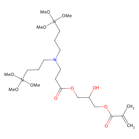 C=C(C)C(=O)OCC(O)COC(=O)CCN(CCC[Si](OC)(OC)OC)CCC[Si](OC)(OC)OC